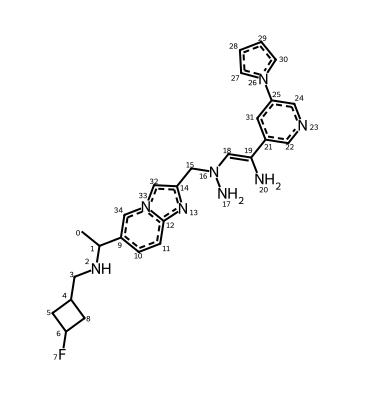 CC(NCC1CC(F)C1)c1ccc2nc(CN(N)/C=C(\N)c3cncc(-n4cccc4)c3)cn2c1